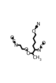 CC(OOCCN=C=O)C(CCCCOC#N)N=C=O